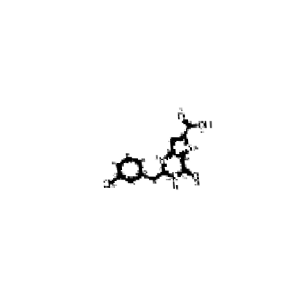 O=C(O)c1cc2nc(Cc3cccc(Cl)c3)[nH]c(=O)c2s1